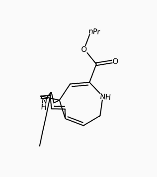 CCCOC(=O)C1=CC23CC(C)NC2=CC=CC3=CCN1